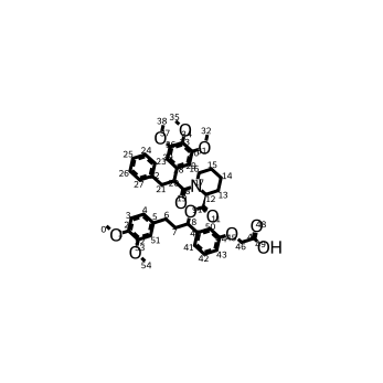 COc1ccc(CCC(OC(=O)[C@@H]2CCCCN2C(=O)C(Cc2ccccc2)c2cc(OC)c(OC)c(OC)c2)c2cccc(OCC(=O)O)c2)cc1OC